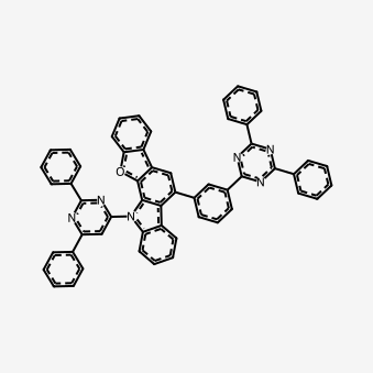 c1ccc(-c2cc(-n3c4ccccc4c4c(-c5cccc(-c6nc(-c7ccccc7)nc(-c7ccccc7)n6)c5)cc5c6ccccc6oc5c43)nc(-c3ccccc3)n2)cc1